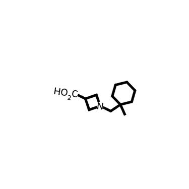 CC1(CN2CC(C(=O)O)C2)CCCCC1